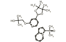 CC(C)(O)COc1cc(B2OC(C)(C)C(C)(C)O2)ccn1.CP(C)(=O)c1ccc2ccccn12